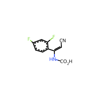 N#C/C=C(/NC(=O)O)c1ccc(F)cc1F